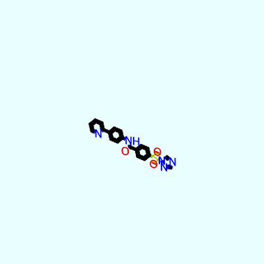 O=C(Nc1ccc(-c2ccccn2)cc1)c1ccc(S(=O)(=O)n2cncn2)cc1